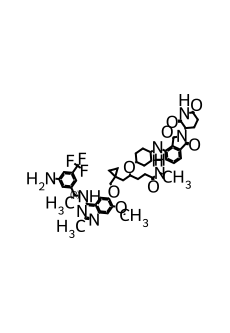 CNC(=O)CCC(CC1(COc2cc3c(N[C@H](C)c4cc(N)cc(C(F)(F)F)c4)nc(C)nc3cc2OC)CC1)OC1CCC(Nc2cccc3c2C(=O)N(C2CCC(=O)NC2=O)C3=O)CC1